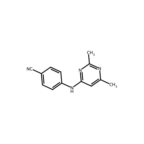 Cc1cc(Nc2ccc(C#N)cc2)nc(C)n1